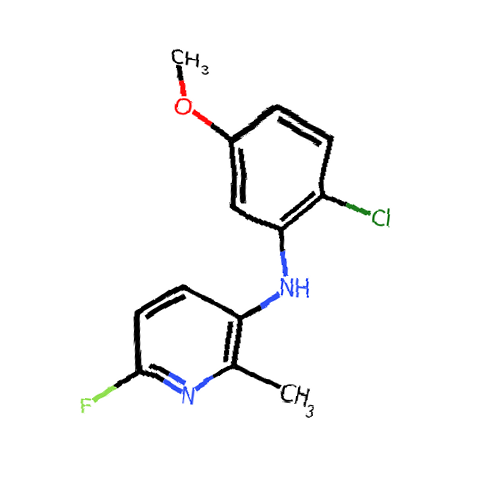 COc1ccc(Cl)c(Nc2ccc(F)nc2C)c1